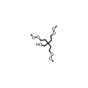 COOCCC(CO)(CCOOC)CCOOC